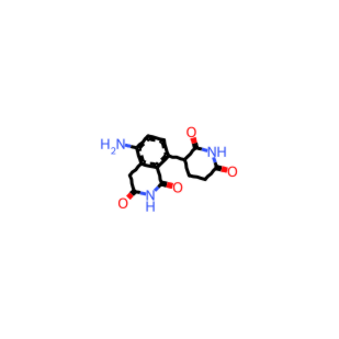 Nc1ccc(C2CCC(=O)NC2=O)c2c1CC(=O)NC2=O